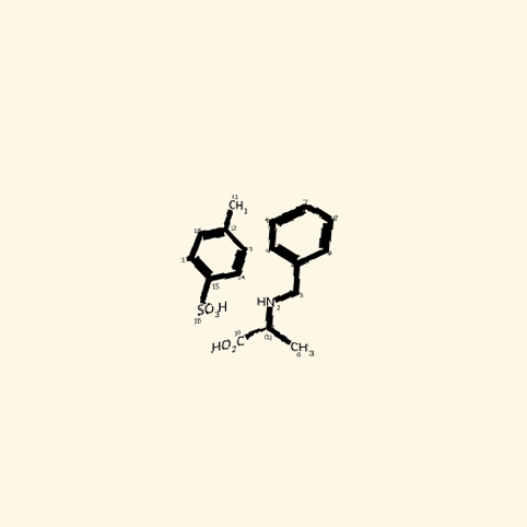 C[C@H](NCc1ccccc1)C(=O)O.Cc1ccc(S(=O)(=O)O)cc1